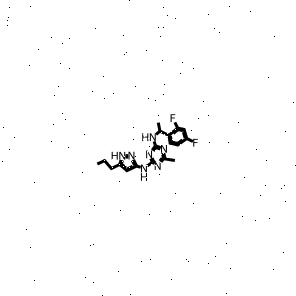 CCCc1cc(Nc2nc(C)nc(NC(C)c3ccc(F)cc3F)n2)n[nH]1